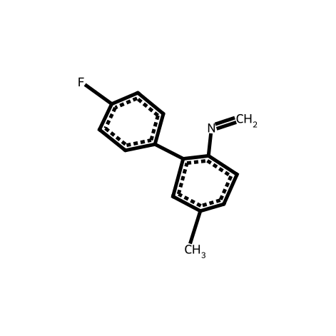 C=Nc1ccc(C)cc1-c1ccc(F)cc1